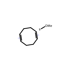 C1=C\CC/C=C\CC/1.C[O][Ir]